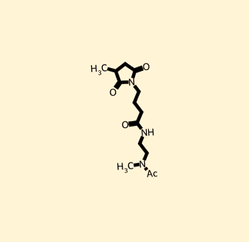 CC(=O)N(C)CCNC(=O)CCCN1C(=O)CC(C)C1=O